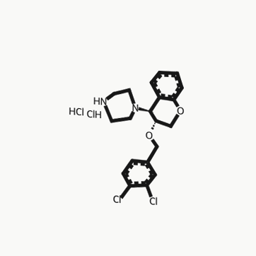 Cl.Cl.Clc1ccc(CO[C@H]2COc3ccccc3[C@@H]2N2CCNCC2)cc1Cl